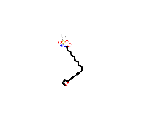 CS(=O)(=O)NC(=O)CCCCCCC/C=C\C#CC#Cc1ccco1